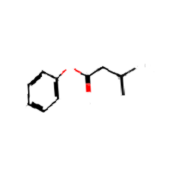 CC(CC(=O)Oc1ccccc1)C(=O)O